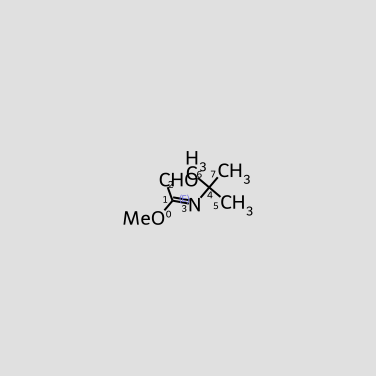 CO/C(C=O)=N/C(C)(C)C